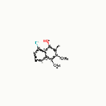 COc1c(C)c(O)c2c(F)cccc2c1OC(C)=O